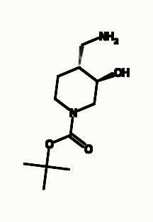 CC(C)(C)OC(=O)N1CC[C@H](CN)[C@@H](O)C1